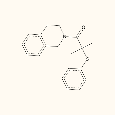 CC(C)(Sc1ccccc1)C(=O)N1CCc2ccccc2C1